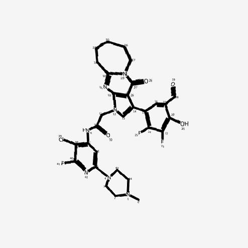 CN1CCN(c2cc(NC(=O)Cn3cc(-c4cc(C=O)c(O)c(F)c4F)c4c(=O)n5c(nc43)CCCCC5)c(Cl)c(F)n2)CC1